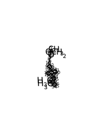 C=C(C)C(=O)OCCCCCc1ccc(-c2c3ccccc3c(-c3ccc4c(c3)C(C)(C)c3ccccc3-4)c3ccccc23)cc1